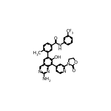 Cc1ccc(C(=O)Nc2cccc(C(F)(F)F)c2)cc1-c1cc2cnc(N)nc2c(-c2ccnc(N3CCOC3=O)c2)c1O